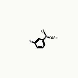 COB(Cl)c1cccc(F)c1